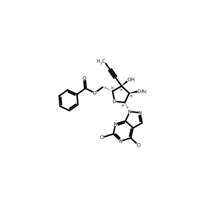 CC#C[C@@]1(O)[C@@H](COC(=O)c2ccccc2)O[C@@H](n2ncc3c(Cl)nc(Cl)nc32)[C@@H]1OC(C)=O